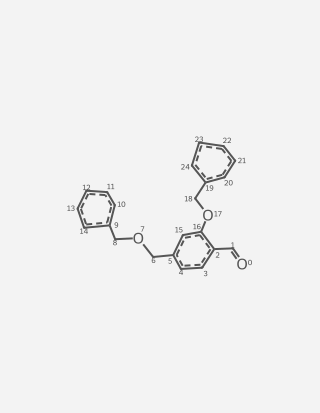 O=Cc1ccc(COCc2ccccc2)cc1OCc1ccccc1